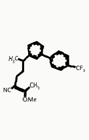 COC(C)=C(C#N)CCC(C)c1cccc(-c2ccc(C(F)(F)F)cc2)c1